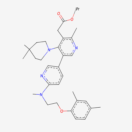 Cc1ccc(OCCN(C)c2ccc(-c3cnc(C)c(CC(=O)OC(C)C)c3N3CCC(C)(C)CC3)cn2)c(C)c1